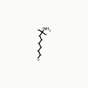 [CH2]C(C)(N)CCCCCCC